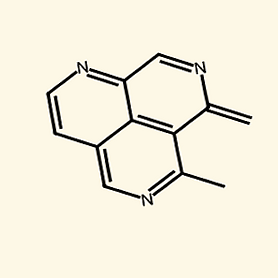 C=c1ncc2nccc3cnc(C)c1c32